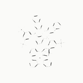 CC(C)(C)c1cc(N2c3cc4ccccc4cc3B3c4cc5ccccc5cc4N(c4cc(C(C)(C)C)cc(C(C)(C)C)c4)c4cc(-c5cccc6c5-c5ccccc5C65c6ccccc6-c6ccccc65)cc2c43)cc(C(C)(C)C)c1